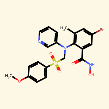 COc1ccc(S(=O)(=O)CN(c2cccnc2)c2c(C)cc(Br)cc2C(=O)NO)cc1